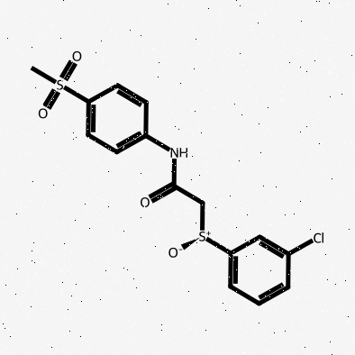 CS(=O)(=O)c1ccc(NC(=O)C[S@+]([O-])c2cccc(Cl)c2)cc1